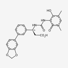 Cc1cn(C)c(=O)c(NC(=O)N[C@@H](CC(=O)O)c2cccc(-c3ccc4c(c3)OCO4)c2)c1O